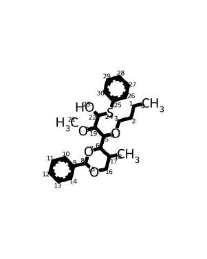 CCCCOC(C1OC(c2ccccc2)OCC1C)C(OC)C(O)Sc1ccccc1